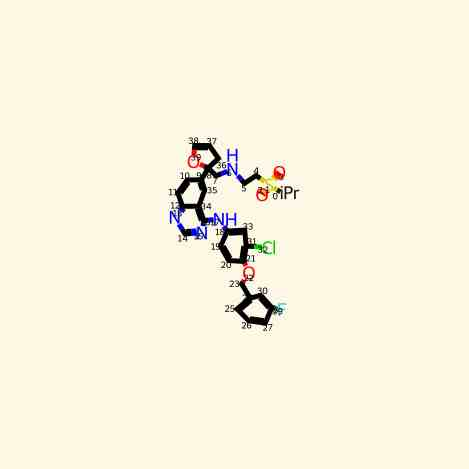 CC(C)S(=O)(=O)CCNCC1(c2ccc3ncnc(Nc4ccc(OCc5cccc(F)c5)c(Cl)c4)c3c2)CC=CO1